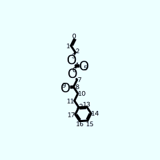 C=CCOC(=O)OCC(=O)CCc1ccccc1